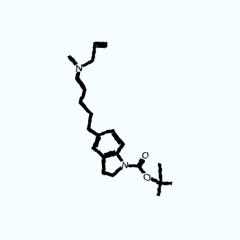 C=CCN(C)CCCCCc1ccc2c(c1)CCN2C(=O)OC(C)(C)C